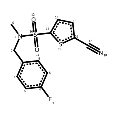 CN(Cc1ccc(F)cc1)S(=O)(=O)c1ccc(C#N)s1